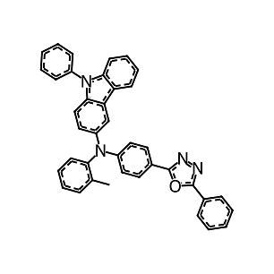 Cc1ccccc1N(c1ccc(-c2nnc(-c3ccccc3)o2)cc1)c1ccc2c(c1)c1ccccc1n2-c1ccccc1